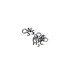 CC12CCC(/C(=C/c3ccc(CSc4nc5ccccc5s4)cc3)C1=O)C2(C)C